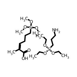 CCO[Si](CCCN)(OCC)OCC.CO[Si](CCCC=C(C)C(=O)O)(OC)OC